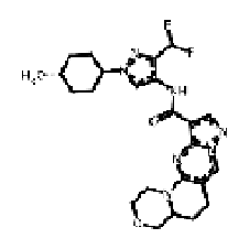 C[C@H]1CC[C@H](n2cc(NC(=O)c3cnn4cc5c(nc34)N3CCOCC3CC5)c(C(F)F)n2)CC1